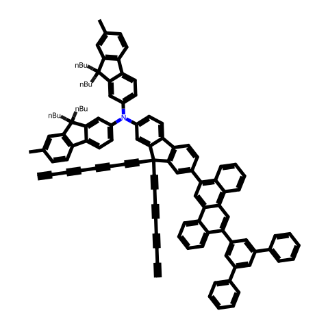 C#CC#CC#CC#CC1(C#CC#CC#CC#C)c2cc(-c3cc4c5ccccc5c(-c5cc(-c6ccccc6)cc(-c6ccccc6)c5)cc4c4ccccc34)ccc2-c2ccc(N(c3ccc4c(c3)C(CCCC)(CCCC)c3cc(C)ccc3-4)c3ccc4c(c3)C(CCCC)(CCCC)c3cc(C)ccc3-4)cc21